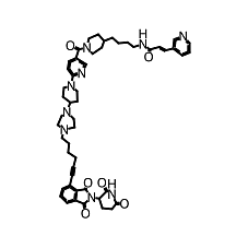 O=C(/C=C/c1cccnc1)NCCCCC1CCN(C(=O)c2ccc(N3CCC(N4CCN(CCCCC#Cc5cccc6c5C(=O)N(C5CCC(=O)NC5=O)C6=O)CC4)CC3)nc2)CC1